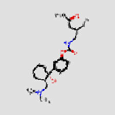 COC(=O)CC(CNC(=O)Oc1cccc([C@]2(O)CCCC[C@@H]2CN(C)C)c1)CC(C)C